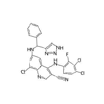 N#Cc1cnc2c(Cl)cc(NC(c3ccccc3)c3c[nH]nn3)cc2c1Nc1ccc(Cl)c(Cl)c1F